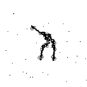 C=CC(=O)OCCCCCCOc1ccc(OC(=O)C2CCC(COc3cccc(-c4nc5ccc(OCCCCCCOC(=O)C=C)cc5nc4-c4cccc(OCC5CCC(C(=O)Oc6ccc(OCCCCCCOC(=O)C=C)cc6)CC5)c4)c3)CC2)cc1